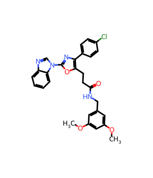 COc1cc(CNC(=O)CCc2oc(-n3cnc4ccccc43)nc2-c2ccc(Cl)cc2)cc(OC)c1